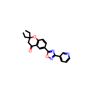 CCC1(CC)CC(=O)c2cc(-c3nc(-c4cccnc4)no3)ccc2O1